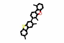 Cc1ccc2sc3cc(-c4ccc5c(oc6cccc(C)c65)c4C)c(C)cc3c2c1